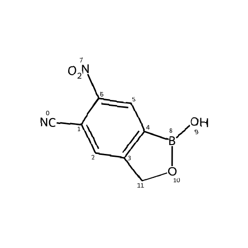 N#Cc1cc2c(cc1[N+](=O)[O-])B(O)OC2